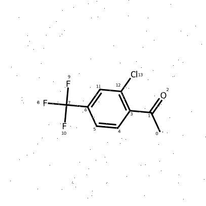 [CH2]C(=O)c1ccc(C(F)(F)F)cc1Cl